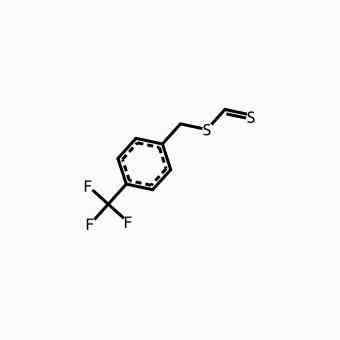 FC(F)(F)c1ccc(CSC=S)cc1